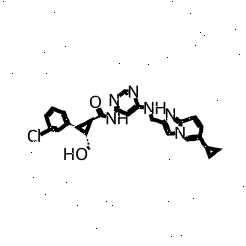 O=C(Nc1cc(NCc2cn3cc(C4CC4)ccc3n2)ncn1)[C@H]1[C@H](CO)[C@@H]1c1cccc(Cl)c1